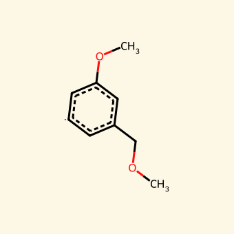 COCc1c[c]cc(OC)c1